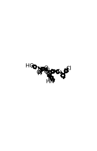 CC1(C)CCC(CN2CCN(c3ccc(C(=O)NS(=O)(=O)c4ccc(NC[C@H]5CC[C@](C)(O)CC5)c(N=O)c4)c(-n4ncc5nc6[nH]ccc6cc54)c3)CC2)=C(c2ccc(Cl)cc2)C1